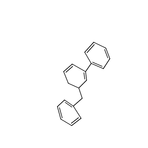 C1=CC(c2ccccc2)=CC(Cc2ccccc2)C1